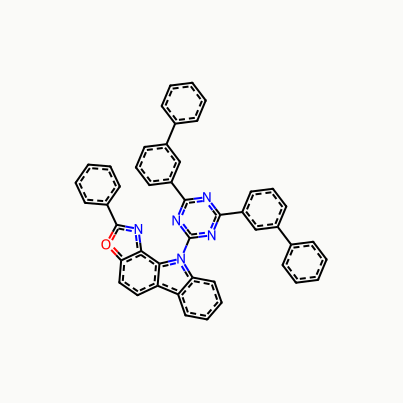 c1ccc(-c2cccc(-c3nc(-c4cccc(-c5ccccc5)c4)nc(-n4c5ccccc5c5ccc6oc(-c7ccccc7)nc6c54)n3)c2)cc1